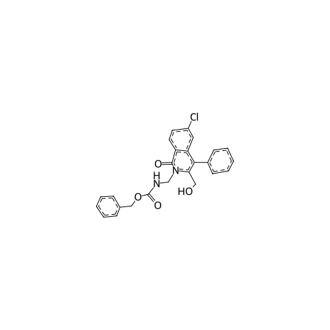 O=C(NCn1c(CO)c(-c2ccccc2)c2cc(Cl)ccc2c1=O)OCc1ccccc1